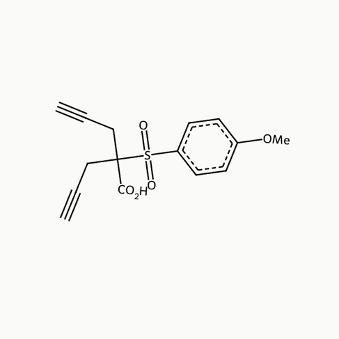 C#CCC(CC#C)(C(=O)O)S(=O)(=O)c1ccc(OC)cc1